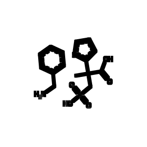 CC(CS(=O)(=O)O)(C(=O)O)c1cccs1.NCc1ccccc1